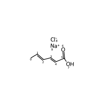 CC=CC=CC(=O)O.[Cl-].[Na+]